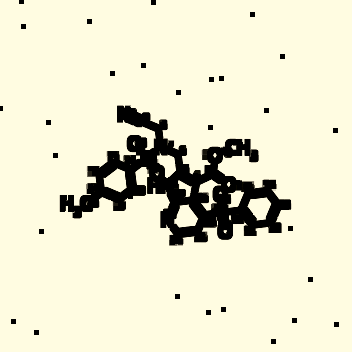 COC(=O)c1c(CN(CC#N)S(=O)(=O)c2ccc(C)cc2)[nH]c2nccc(S(=O)(=O)c3ccccc3)c12